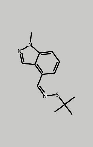 Cn1ncc2c(/C=N\SC(C)(C)C)cccc21